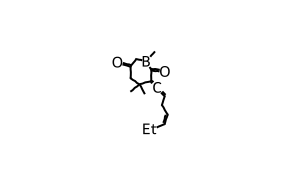 CC/C=C\CC=C=C1C(=O)B(C)CC(=O)CC1(C)C